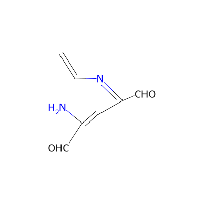 C=C/N=C(C=O)\C=C(/N)C=O